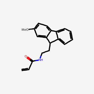 C=CC(=O)NCCC1c2ccccc2-c2ccc(OC)cc21